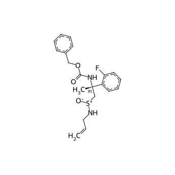 C=CCN[S+]([O-])C[C@](C)(NC(=O)OCc1ccccc1)c1ccccc1F